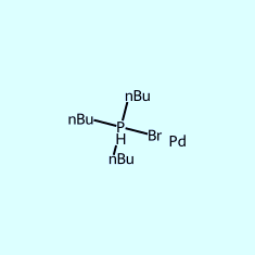 CCCC[PH](Br)(CCCC)CCCC.[Pd]